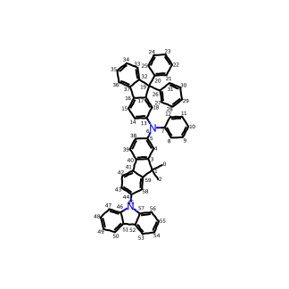 CC1(C)c2cc(N(c3ccccc3)c3ccc4c(c3)C(c3ccccc3)(c3ccccc3)c3ccccc3-4)ccc2-c2ccc(-n3c4ccccc4c4ccccc43)cc21